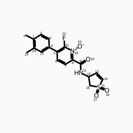 Cc1ccc(-c2ccc(C(=O)NC3C=CS(=O)(=O)C3)[n+]([O-])c2F)cc1C